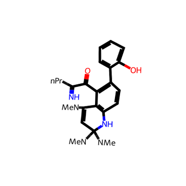 CCCC(=N)C(=O)c1c(-c2ccccc2O)ccc2c1C(NC)=CC(NC)(NC)N2